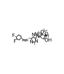 Cc1nc(C[C@@H]2C[C@H]2c2ccc(F)c(F)c2)c2nnn([C@@H]3C[C@H](O)[C@H]4OC(C)(C)O[C@H]43)c2n1